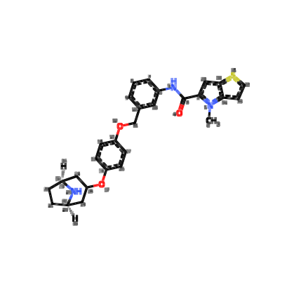 Cn1c(C(=O)Nc2cccc(COc3ccc(OC4C[C@H]5CC[C@@H](C4)N5)cc3)c2)cc2sccc21